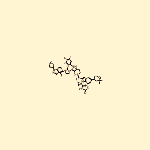 Cc1cc(-n2nc3c(c2-n2ccn(-c4ccc5c(cnn5C5CCOC5)c4F)c2=O)[C@H](C)N(C(=O)c2cc4cc(C5CCOC(C)(C)C5)ccc4n2[C@@]2(c4noc(=O)[nH]4)C[C@@H]2C)CC3)cc(C)c1F